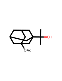 CC(=O)OC12CC3CC(C1)CC(C(C)(C)O)(C3)C2